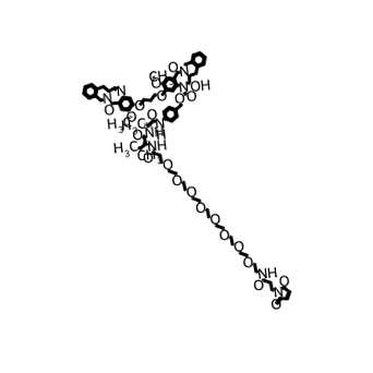 COc1cc2c(cc1OCCCOc1cc3c(cc1OC)C(=O)N1Cc4ccccc4CC1C(O)N3C(=O)OCc1ccc(NC(=O)[C@H](C)NC(=O)[C@@H](NC(=O)CCOCCOCCOCCOCCOCCOCCOCCOCCNC(=O)CCN3C(=O)C=CC3=O)C(C)C)cc1)N=CC1Cc3ccccc3CN1C2=O